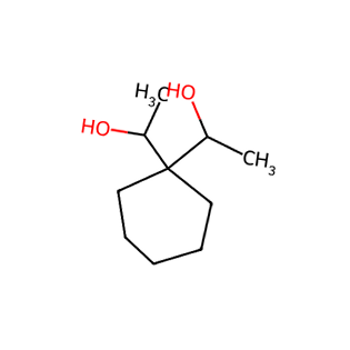 CC(O)C1(C(C)O)CCCCC1